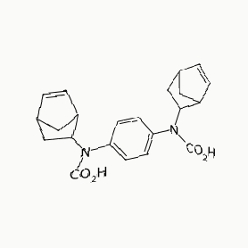 O=C(O)N(c1ccc(N(C(=O)O)C2CC3C=CC2C3)cc1)C1CC2C=CC1C2